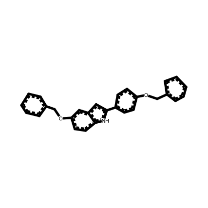 c1ccc(COc2ccc(-c3cc4cc(OCc5ccccc5)ccc4[nH]3)cc2)cc1